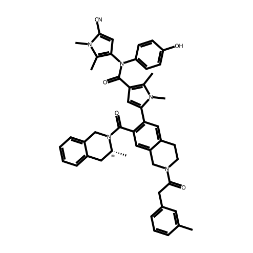 Cc1cccc(CC(=O)N2CCc3cc(-c4cc(C(=O)N(c5ccc(O)cc5)c5cc(C#N)n(C)c5C)c(C)n4C)c(C(=O)N4Cc5ccccc5C[C@H]4C)cc3C2)c1